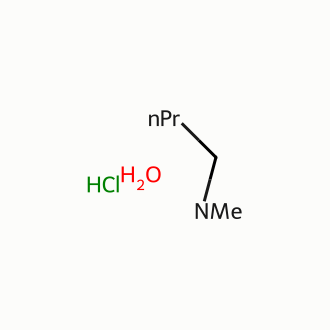 CCCCNC.Cl.O